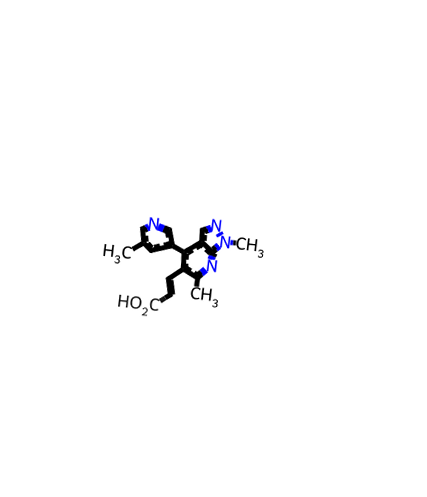 Cc1cncc(-c2c(/C=C/C(=O)O)c(C)nc3c2cnn3C)c1